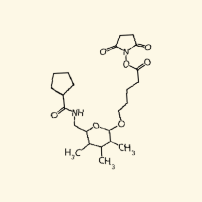 CC1C(CNC(=O)C2CCCC2)OC(OCCCCC(=O)ON2C(=O)CCC2=O)C(C)C1C